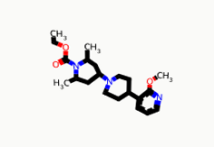 CCOC(=O)N1C(C)CC(N2CCC(c3cccnc3OC)CC2)CC1C